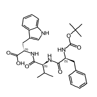 CC(C)[C@H](NC(=O)[C@H](Cc1ccccc1)NC(=O)OC(C)(C)C)C(=O)N[C@@H](Cc1c[nH]c2ccccc12)C(=O)O